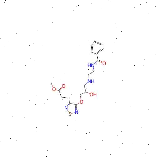 COC(=O)CCc1nsnc1OCC(O)CNCCNC(=O)c1ccccc1